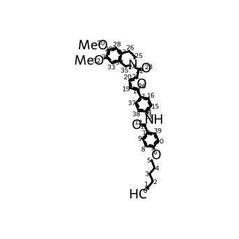 C#CCCCCOc1ccc(C(=O)Nc2ccc(-c3ccc(C(=O)N4CCc5cc(OC)c(OC)cc5C4)o3)cc2)cc1